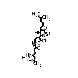 C=C/C(C)=C/C=C1\CC2=C(O1)C(=O)NC(C(/C=C\CNC(=O)CC/C(=C/NC)NC)=C(/C)Cl)N2